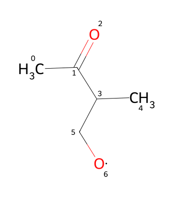 CC(=O)C(C)C[O]